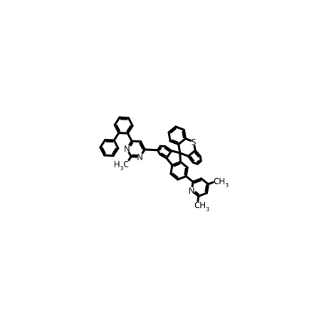 Cc1cc(C)nc(-c2ccc3c(c2)C2(c4ccccc4Sc4ccccc42)c2ccc(-c4cc(-c5ccccc5-c5ccccc5)nc(C)n4)cc2-3)c1